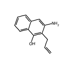 C=CCc1c(N)cc2ccccc2c1O